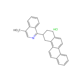 Cl.O=C(O)c1cnc(C2CCc3ccc4c(ccc5ccccc54)c3C2)c2ccccc12